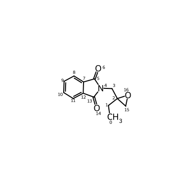 CCC1(CN2C(=O)c3ccccc3C2=O)CO1